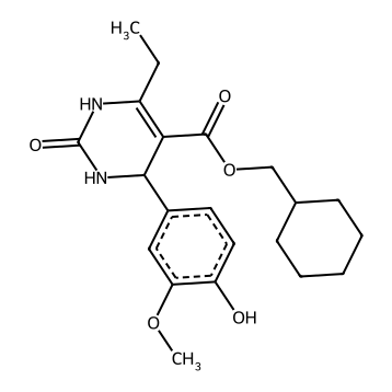 CCC1=C(C(=O)OCC2CCCCC2)C(c2ccc(O)c(OC)c2)NC(=O)N1